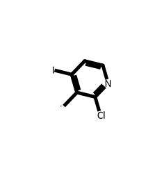 [CH2]c1c(I)ccnc1Cl